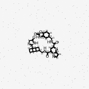 O=C1CN=C(C23C4C5C2C2C3C4C52CNC(=O)c2cc(C(=O)NCc3ccc4oc(=O)[nH]c4c3)nc3ccnn23)N1